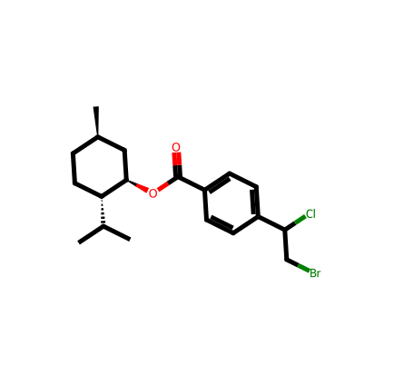 CC(C)[C@@H]1CC[C@@H](C)C[C@H]1OC(=O)c1ccc(C(Cl)CBr)cc1